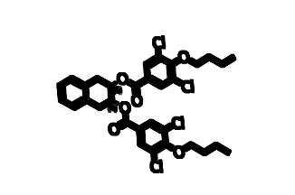 CCCCOc1c(Cl)cc(C(=O)O[C@H]2Cc3ccccc3C[C@H]2OC(=O)c2cc(Cl)c(OCCCC)c(Cl)c2)cc1Cl